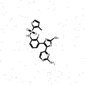 Cc1ccsc1S(=O)(=O)Nc1cccc(-c2nc(C(C)(C)C)sc2-c2ccnc(N)n2)c1F